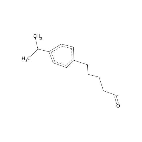 CC(C)c1ccc(CCCC[C]=O)cc1